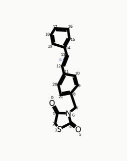 O=C1CSC(=O)N1Cc1ccc(/C=C/c2ccccc2)cc1